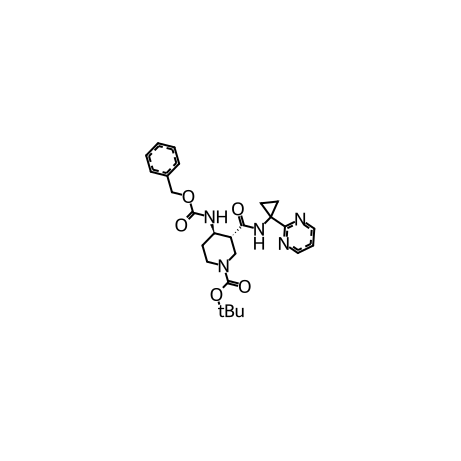 CC(C)(C)OC(=O)N1CC[C@@H](NC(=O)OCc2ccccc2)[C@H](C(=O)NC2(c3ncccn3)CC2)C1